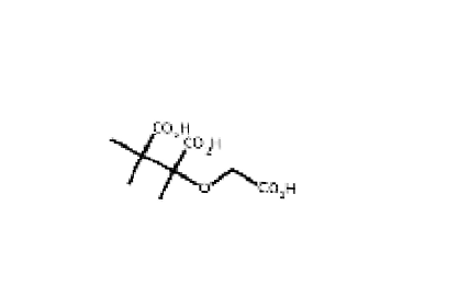 CC(C)(C(=O)O)C(C)(OCC(=O)O)C(=O)O